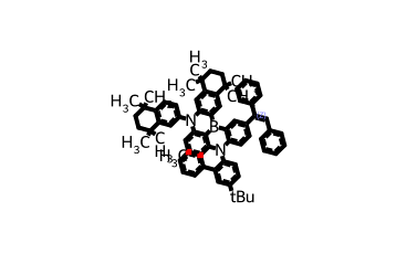 Cc1cc2c3c(c1)N(c1ccc(C(C)(C)C)cc1-c1ccccc1)c1ccc(/C(=C\c4ccccc4)c4ccccc4)cc1B3c1cc3c(cc1N2c1ccc2c(c1)C(C)(C)CCC2(C)C)C(C)(C)CCC3(C)C